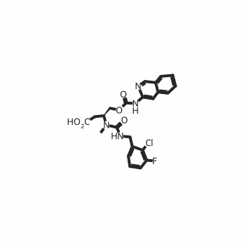 CN(C(=O)NCc1cccc(F)c1Cl)[C@H](COC(=O)Nc1cc2ccccc2cn1)CC(=O)O